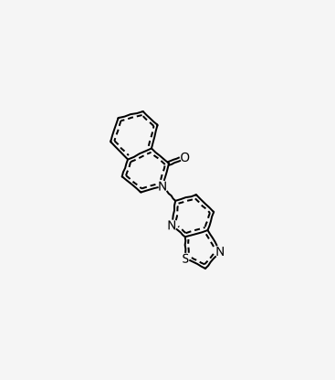 O=c1c2ccccc2ccn1-c1ccc2ncsc2n1